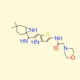 CC1(C)CCC2(C(=N)c3cc4sc(NC(=O)CN5CCOCC5)cc4[nH]3)NC2C1